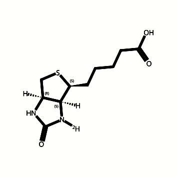 [2H]N1C(=O)N[C@H]2CS[C@@H](CCCCC(=O)O)[C@H]21